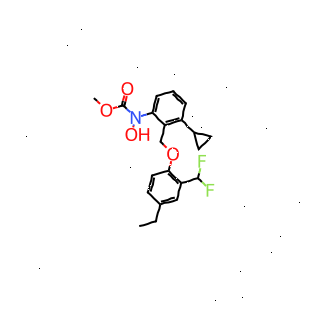 CCc1ccc(OCc2c(C3CC3)cccc2N(O)C(=O)OC)c(C(F)F)c1